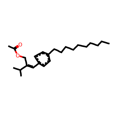 CCCCCCCCCCc1ccc(C=C(COC(C)=O)C(C)C)cc1